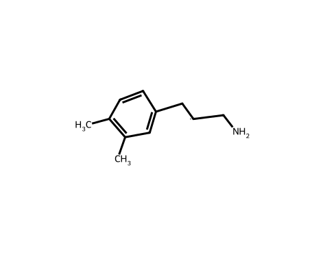 Cc1ccc(C[CH]CN)cc1C